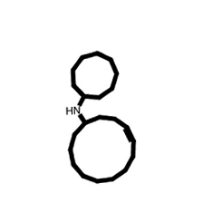 C1=C\CCC(NC2CCCCCCCC2)CCCCCCCC/1